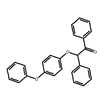 O=C(c1ccccc1)C(Oc1ccc(Oc2ccccc2)cc1)c1ccccc1